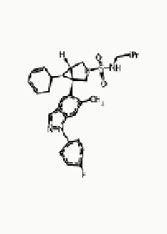 Cc1cc2c(cnn2-c2ccc(F)cc2)cc1[C@]12CN(S(=O)(=O)NCC(C)C)C[C@H]1[C@@H]2C1C=CC=CC1